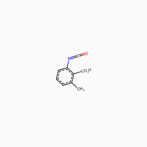 Cc1cccc(N=C=O)c1C(=O)O